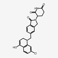 O=C1CCC(N2Cc3cc(CN4CC=C(O)c5ccc(Cl)cc54)ccc3C2=O)C(=O)N1